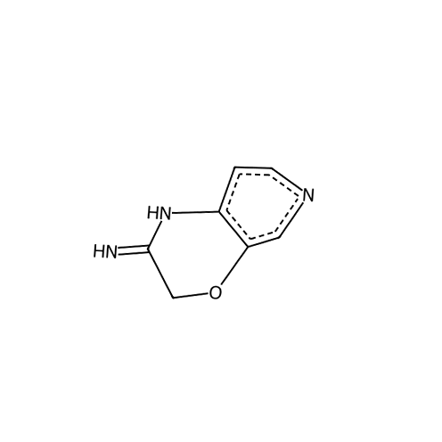 N=C1COc2cnccc2N1